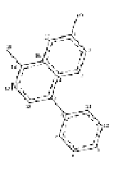 Cc1ccc2c(-c3ccccc3)cnc(C)c2c1